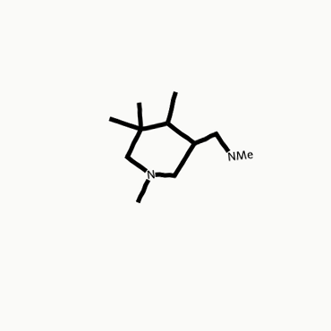 CNCC1CN(C)CC(C)(C)C1C